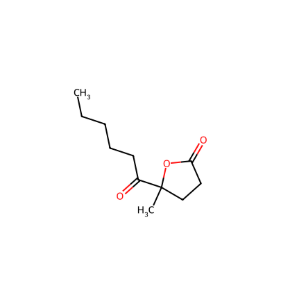 CCCCCC(=O)C1(C)CCC(=O)O1